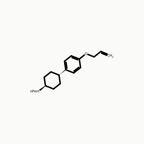 C=CCOc1ccc([C@H]2CC[C@H](CCCCC)CC2)cc1